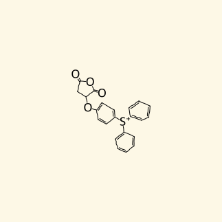 O=C1CC(Oc2ccc([S+](c3ccccc3)c3ccccc3)cc2)C(=O)O1